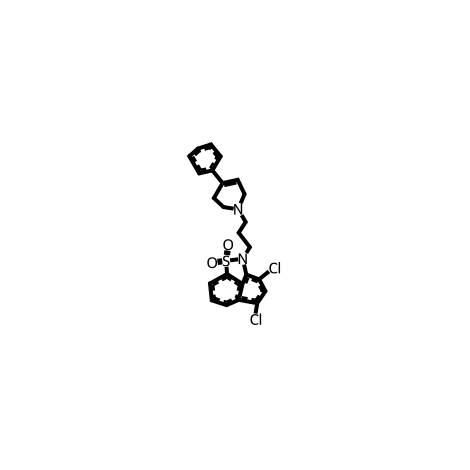 O=S1(=O)c2cccc3c(Cl)cc(Cl)c(c23)N1CCCN1CC=C(c2ccccc2)CC1